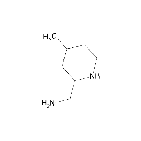 CC1CCNC(CN)C1